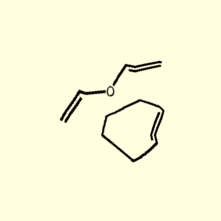 C1=CCCCC1.C=COC=C